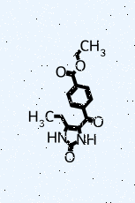 CCOC(=O)c1ccc(C(=O)c2[nH]c(=O)[nH]c2CC)cc1